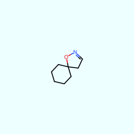 C1=NOC2(C1)CCCCC2